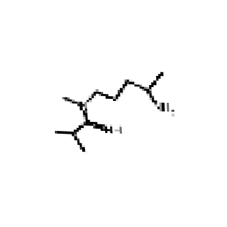 CC(N)CCCN(C)C(=N)C(C)C